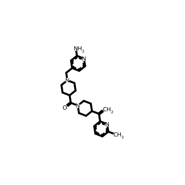 C=C(c1cccc(C)n1)C1CCN(C(=O)C2CCN(Cc3ccnc(N)c3)CC2)CC1